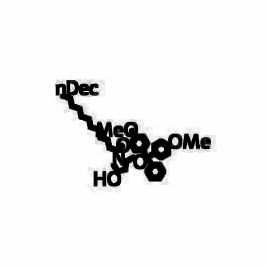 CCCCCCCCCCCCCCCCCCCCCC(=O)N1C[C@H](O)CC1COC(c1ccccc1)(c1ccc(OC)cc1)c1ccc(OC)cc1